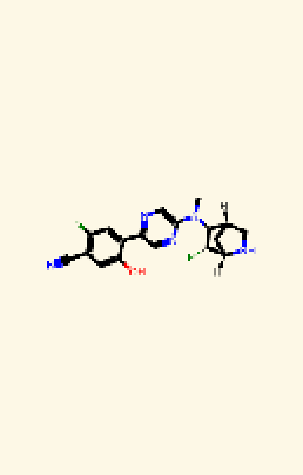 CN(c1cnc(-c2cc(F)c(C#N)cc2O)cn1)[C@H]1[C@@H]2CN[C@@H](C2)[C@@H]1F